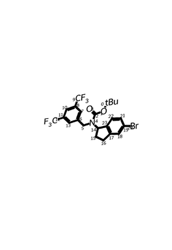 CC(C)(C)OC(=O)N(Cc1cc(C(F)(F)F)cc(C(F)(F)F)c1)C1CCc2cc(Br)ccc21